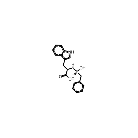 O=C(O)C(Cc1c[nH]c2ccccc12)NP(=O)(O)Cc1ccccc1